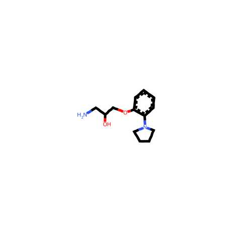 NCC(O)COc1ccccc1N1CCCC1